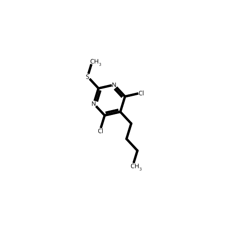 CCCCc1c(Cl)nc(SC)nc1Cl